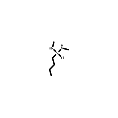 CCCC[Si](Cl)(NC)NC